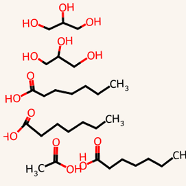 CC(=O)O.CCCCCCC(=O)O.CCCCCCC(=O)O.CCCCCCC(=O)O.OCC(O)CO.OCC(O)CO